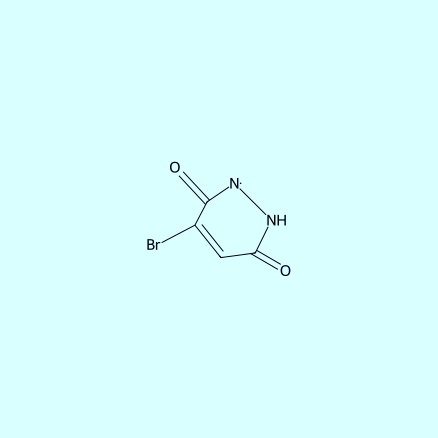 O=C1C=C(Br)C(=O)[N]N1